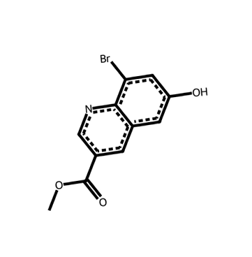 COC(=O)c1cnc2c(Br)cc(O)cc2c1